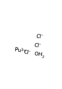 O.[Cl-].[Cl-].[Cl-].[Pu+3]